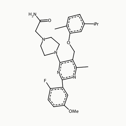 COc1ccc(F)c(-c2nc(C)c(COc3cc(C(C)C)ccc3C)c(N3CCN(CC(N)=O)CC3)n2)c1